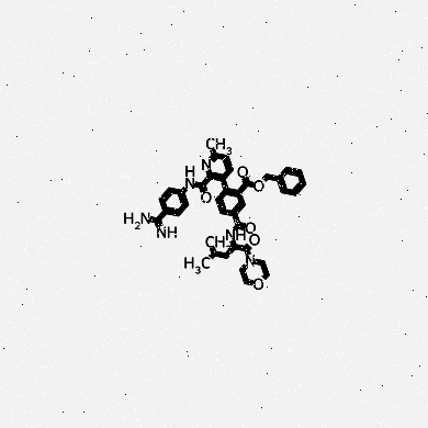 Cc1ccc(-c2ccc(C(=O)NC(CC(C)C)C(=O)N3CCOCC3)cc2C(=O)OCc2ccccc2)c(C(=O)Nc2ccc(C(=N)N)cc2)n1